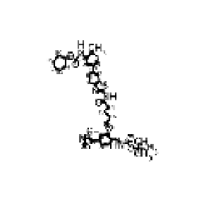 Cc1ncc(-c2ccc3nc(NC(=O)CCCCOc4cc(-c5scnc5C)ccc4CNC(=O)OC(C)(C)C)sc3c2)cc1NC(=O)OC1CCCCC1